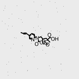 CC#Cc1ccc(N2CC(CC(C)(C(=O)O)S(C)(=O)=O)OC2=O)nc1